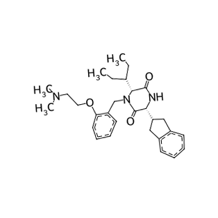 CCC(CC)[C@@H]1C(=O)N[C@H](C2Cc3ccccc3C2)C(=O)N1Cc1ccccc1OCCN(C)C